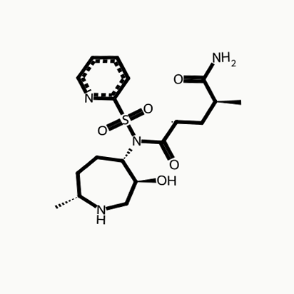 C[C@@H]1CC[C@H](N(C(=O)[CH]C[C@H](C)C(N)=O)S(=O)(=O)c2ccccn2)[C@@H](O)CN1